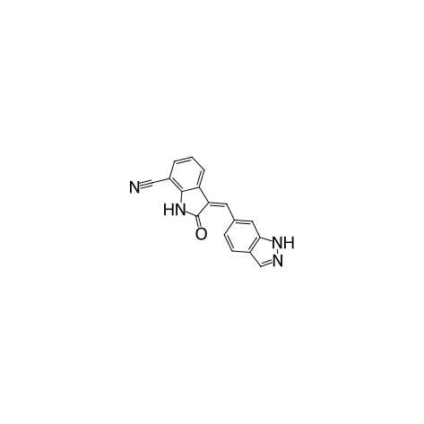 N#Cc1cccc2c1NC(=O)C2=Cc1ccc2cn[nH]c2c1